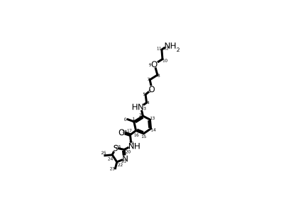 Cc1c(NCCOCCOCCN)cccc1C(=O)NC1=NC(C)C(C)S1